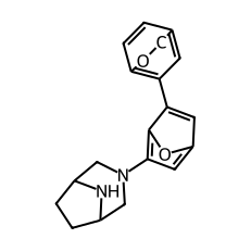 c1cc2c(-c3cc4cc(N5CC6CCC(C5)N6)c3o4)cc1CO2